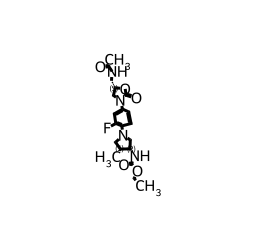 CCOC(=O)N[C@H]1CN(c2ccc(N3C[C@H](CNC(C)=O)OC3=O)cc2F)C[C@@H]1C